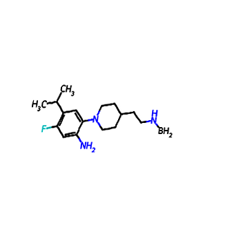 BNCCC1CCN(c2cc(C(C)C)c(F)cc2N)CC1